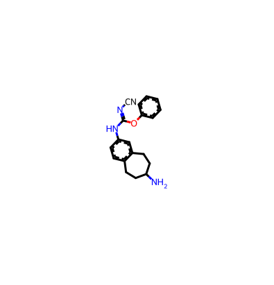 N#CN=C(Nc1ccc2c(c1)CCC(N)CC2)Oc1ccccc1